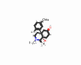 CCc1ccc(OC)cc1[C@]12CCN(C)C(C)[C@]1(O)CCC(=O)C2